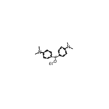 CCOP(c1ccc(N(C)C)cc1)c1ccc(N(C)C)cc1